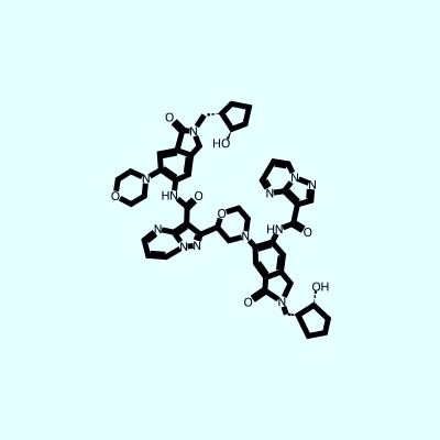 O=C(Nc1cc2c(cc1N1CCOC(c3nn4cccnc4c3C(=O)Nc3cc4c(cc3N3CCOCC3)C(=O)N(C[C@@H]3CCC[C@@H]3O)C4)C1)C(=O)N(C[C@H]1CCC[C@H]1O)C2)c1cnn2cccnc12